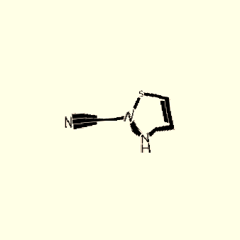 N#CN1NC=CS1